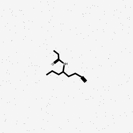 C#CCCC(CCC)NC(=O)CC